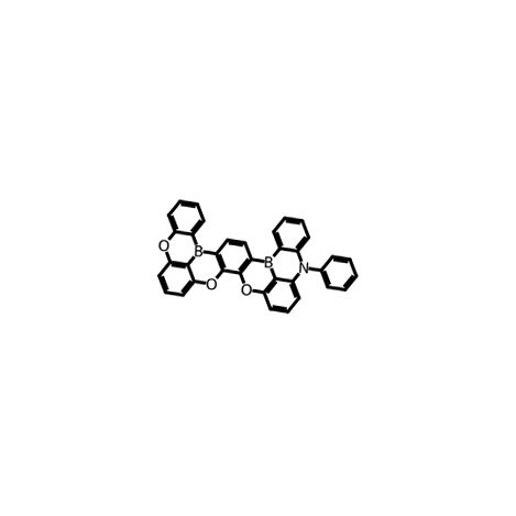 c1ccc(N2c3ccccc3B3c4ccc5c(c4Oc4cccc2c43)Oc2cccc3c2B5c2ccccc2O3)cc1